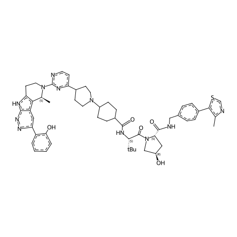 Cc1ncsc1-c1ccc(CNC(=O)[C@@H]2C[C@@H](O)CN2C(=O)[C@@H](NC(=O)C2CCC(N3CCC(c4ccnc(N5CCc6[nH]c7nnc(-c8ccccc8O)cc7c6[C@@H]5C)n4)CC3)CC2)C(C)(C)C)cc1